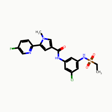 CCS(=O)(=O)Nc1cc(Cl)cc(NC(=O)c2cc(-c3ccc(F)cn3)n(C)c2)c1